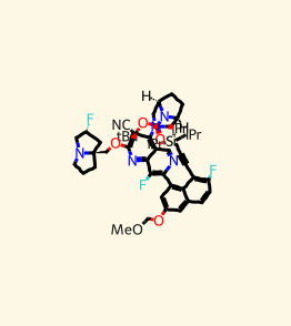 COCOc1cc(-c2ncc3c(N4C[C@H]5CC[C@@H](C4)N5C(=O)OC(C)(C)C)c(C#N)c(OC[C@@]45CCCN4C[C@H](F)C5)nc3c2F)c2c(C#C[Si](C(C)C)(C(C)C)C(C)C)c(F)ccc2c1